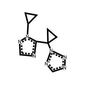 c1nnn(C2(c3ncnn3C3CC3)CC2)n1